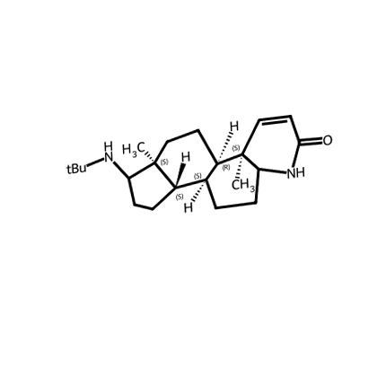 CC(C)(C)NC1CC[C@H]2[C@@H]3CCC4NC(=O)C=C[C@]4(C)[C@@H]3CC[C@]12C